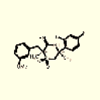 COc1cccc(C[C@@]2(C)C(=N)N[C@](C)(c3ccc(F)cc3F)CS2(=O)=O)c1